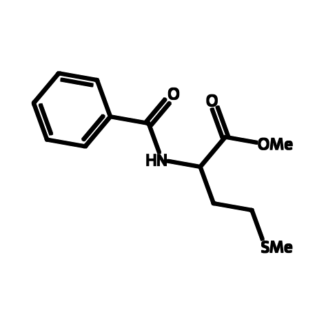 COC(=O)C(CCSC)NC(=O)c1ccccc1